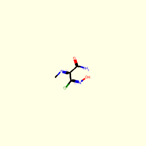 C/N=C(C(N)=O)\C(Cl)=N/O